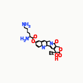 CCC1(O)C(=O)OCc2c1cc1n(c2=O)Cc2cc3cc(OC(=O)[C@@H](N)CCCCN)ccc3nc2-1